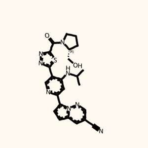 CC(C)Nc1cc(-c2ccc3cc(C#N)cnn23)ncc1-c1nnc(C(=O)N2CCC[C@@H]2CO)s1